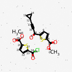 COC(=O)c1ccc(C(=O)C#CC2CC2)s1.COC(=O)c1ccc(C(=O)Cl)s1